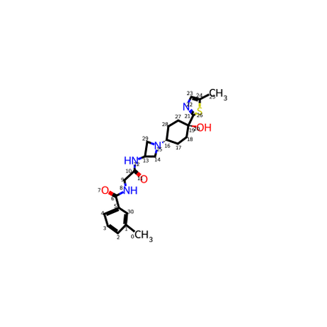 Cc1cccc(C(=O)NCC(=O)NC2CN([C@H]3CC[C@@](O)(c4ncc(C)s4)CC3)C2)c1